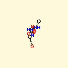 CN1C(=O)[C@@H](NC(=O)C(=O)NCCc2ccccc2)COc2ccc(C#CC3COC3)cc21